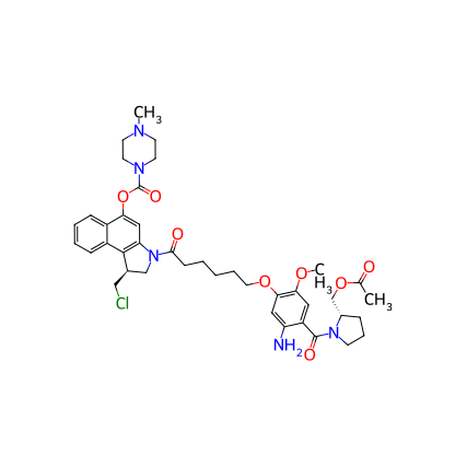 COc1cc(C(=O)N2CCC[C@H]2COC(C)=O)c(N)cc1OCCCCCC(=O)N1C[C@@H](CCl)c2c1cc(OC(=O)N1CCN(C)CC1)c1ccccc21